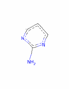 Nc1n[c]ccn1